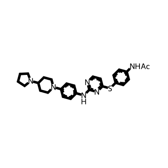 CC(=O)Nc1ccc(Sc2ccnc(Nc3ccc(N4CCC(N5CCCC5)CC4)cc3)n2)cc1